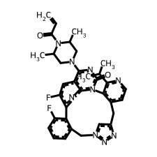 C=CC(=O)N1C(C)CN(c2nc(=O)n3c4nc(c(F)cc24)-c2c(F)cccc2Cn2cc(nn2)Cc2ccnc(C(C)C)c2-3)CC1C